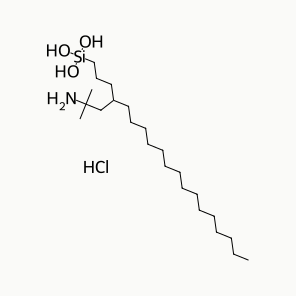 CCCCCCCCCCCCCCCC(CCC[Si](O)(O)O)CC(C)(C)N.Cl